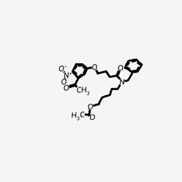 CC(=O)OCCCCCN(Cc1ccccc1)C(=O)CCCOc1ccc([N+](=O)[O-])c(C(C)=O)c1